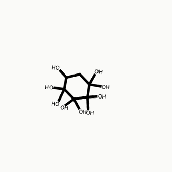 OC1CC(O)(O)C(O)(O)C(O)(O)C1(O)O